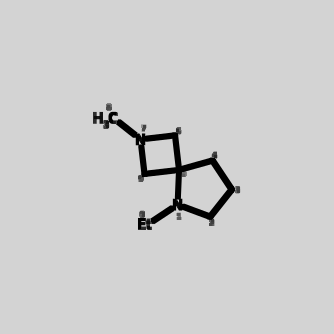 CCN1CCCC12CN(C)C2